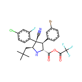 CC(C)(C)C[C@@H]1N[C@@H](C(=O)OC(=O)C(F)(F)F)[C@H](c2cccc(Br)c2)[C@@]1(C#N)c1ccc(Cl)cc1F